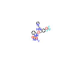 NS(=O)(=O)n1nc(OCc2ccc(OC(F)(F)F)cc2NCCn2cccc2)c2ccccc21